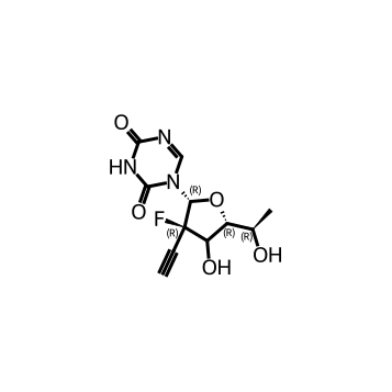 C#C[C@@]1(F)C(O)[C@@H]([C@@H](C)O)O[C@H]1n1cnc(=O)[nH]c1=O